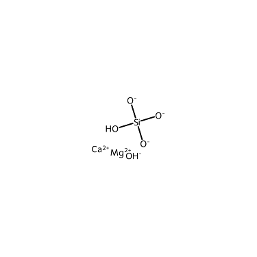 [Ca+2].[Mg+2].[O-][Si]([O-])([O-])O.[OH-]